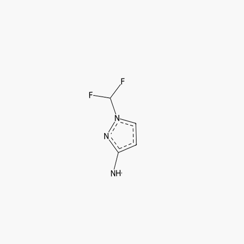 [NH]c1ccn(C(F)F)n1